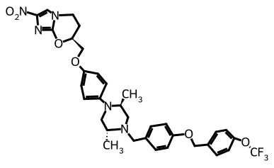 C[C@@H]1CN(c2ccc(OC[C@@H]3CCn4cc([N+](=O)[O-])nc4O3)cc2)[C@@H](C)CN1Cc1ccc(OCc2ccc(OC(F)(F)F)cc2)cc1